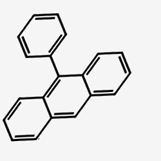 [c]1cccc2c(-c3ccccc3)c3ccccc3cc12